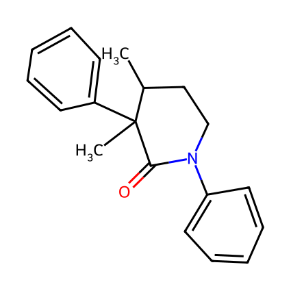 CC1CCN(c2ccccc2)C(=O)C1(C)c1ccccc1